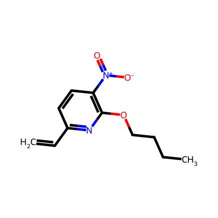 C=Cc1ccc([N+](=O)[O-])c(OCCCC)n1